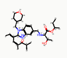 C/C=C(\C=C(\C)C(=O)C(C)C)C1Nc2cc(CNC(C(=O)OC(C)CC)C(C)O)ccc2N1CC1CCOCC1